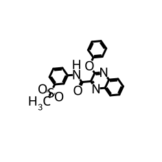 CS(=O)(=O)c1cccc(NC(=O)c2nc3ccccc3nc2Oc2ccccc2)c1